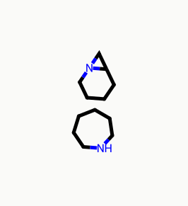 C1CCCNCC1.C1CCN2CC2C1